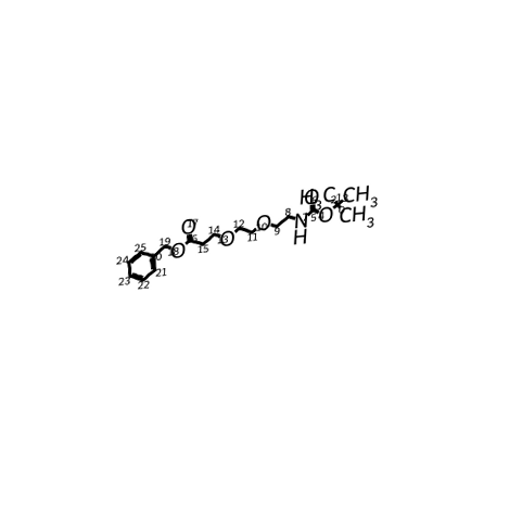 CC(C)(C)OC(=O)NCCOCCOCCC(=O)OCc1ccccc1